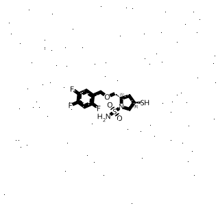 NS(=O)(=O)N1C[C@H](S)C[C@H]1COCc1cc(F)c(F)cc1F